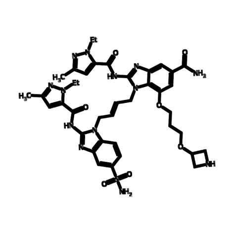 CCn1nc(C)cc1C(=O)Nc1nc2cc(S(N)(=O)=O)ccc2n1C/C=C/Cn1c(NC(=O)c2cc(C)nn2CC)nc2cc(C(N)=O)cc(OCCCOC3CNC3)c21